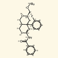 CCCCOC[C@H]1CC2(c3ccccc3F)N=C(NC(=O)c3ccccc3)SCC2CO1